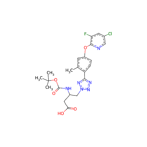 Cc1cc(Oc2ncc(Cl)cc2F)ccc1-c1nnn(CC(CC(=O)O)NC(=O)OC(C)(C)C)n1